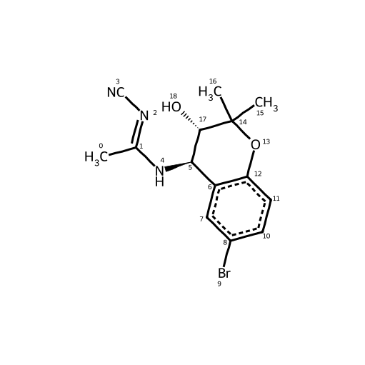 CC(=NC#N)N[C@@H]1c2cc(Br)ccc2OC(C)(C)[C@H]1O